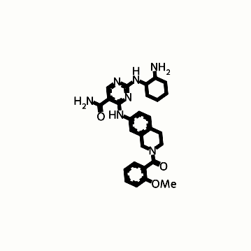 COc1ccccc1C(=O)N1CCc2ccc(Nc3nc(NC4CCCCC4N)ncc3C(N)=O)cc2C1